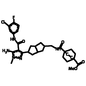 COC(=O)C12CCC(C(=O)NCC3CC4CC(c5nn(C)c(N)c5C(=O)Nc5ccc(F)c(Cl)c5)CC4C3)(CC1)CC2